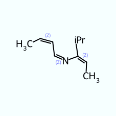 C\C=C/C=N\C(=C/C)C(C)C